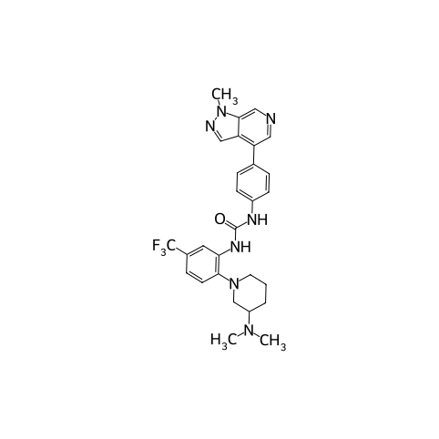 CN(C)C1CCCN(c2ccc(C(F)(F)F)cc2NC(=O)Nc2ccc(-c3cncc4c3cnn4C)cc2)C1